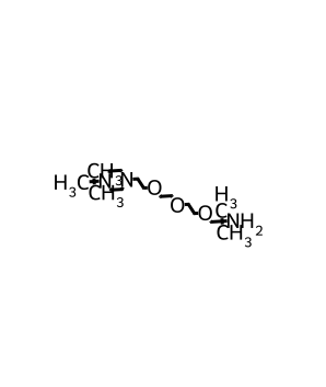 CC(C)(N)COCCOCCOCCN1CCN(C(C)(C)C)CC1